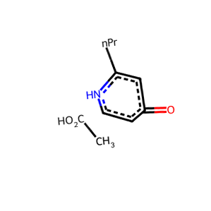 CC(=O)O.CCCc1cc(=O)cc[nH]1